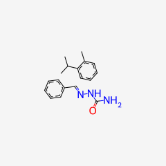 Cc1ccccc1C(C)C.NC(=O)NN=Cc1ccccc1